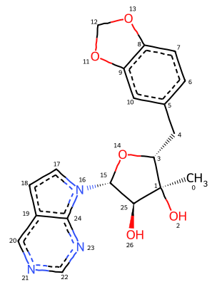 C[C@@]1(O)[C@@H](Cc2ccc3c(c2)OCO3)O[C@@H](n2ccc3cncnc32)[C@@H]1O